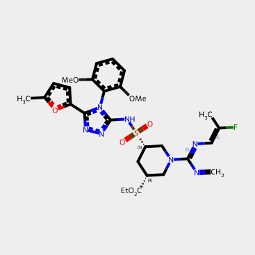 C=N/C(=N\C=C(/C)F)N1C[C@H](C(=O)OCC)C[C@H](S(=O)(=O)Nc2nnc(-c3ccc(C)o3)n2-c2c(OC)cccc2OC)C1